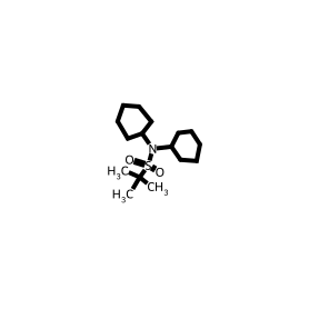 CC(C)(C)S(=O)(=O)N(C1CCCCC1)C1CCCCC1